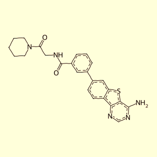 Nc1ncnc2c1sc1cc(-c3cccc(C(=O)NCC(=O)N4CCCCC4)c3)ccc12